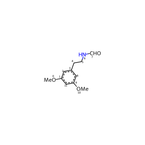 COc1cc(CCNC=O)cc(OC)c1